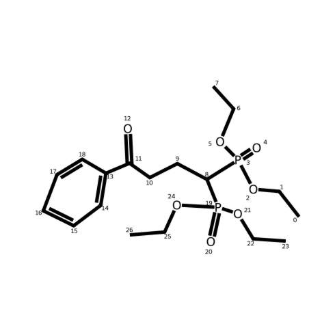 CCOP(=O)(OCC)C(CCC(=O)c1ccccc1)P(=O)(OCC)OCC